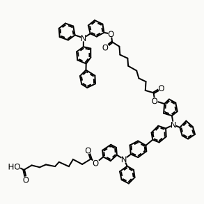 O=C(O)CCCCCCCCC(=O)Oc1cccc(N(c2ccccc2)c2ccc(-c3ccc(N(c4ccccc4)c4cccc(OC(=O)CCCCCCCCC(=O)Oc5cccc(N(c6ccccc6)c6ccc(-c7ccccc7)cc6)c5)c4)cc3)cc2)c1